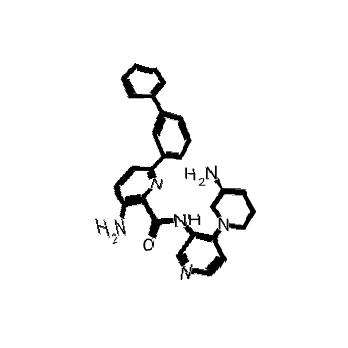 Nc1ccc(-c2cccc(-c3ccccc3)c2)nc1C(=O)Nc1cnccc1N1CCC[C@H](N)C1